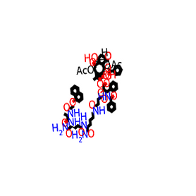 CC(=O)O[C@H]1C(=O)[C@@]2(C)[C@H]([C@H](OC(=O)c3ccccc3)[C@]3(O)C[C@H](OC(=O)[C@H](OC(=O)CCC(=O)NCCCCC(NC(=O)CC[C@H](NC(=O)C(C)NC(=O)COc4cccc5ccccc45)C(N)=O)C(N)=O)[C@H](NC(=O)c4ccccc4)c4ccccc4)C(C)=C1C3(C)C)[C@]1(OC(C)=O)CO[C@@H]1C[C@@H]2O